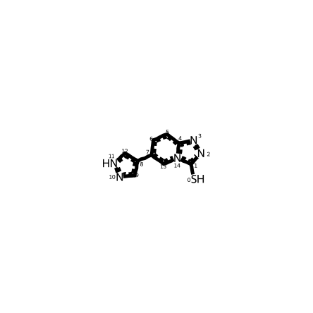 Sc1nnc2ccc(-c3cn[nH]c3)cn12